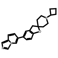 c1cc2c(cc1-c1ccc3cncn3c1)CC1(CCN(C3CCC3)CC1)O2